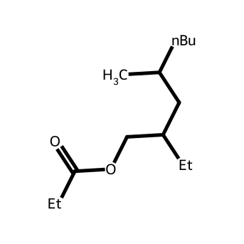 CCCCC(C)CC(CC)COC(=O)CC